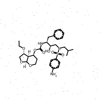 CCO[C@H]1CO[C@@H]2OCC[C@H](OC(=O)N[C@@H](Cc3ccccc3)[C@H](O)CN(CC(C)C)S(=O)(=O)c3ccc(N)cc3)[C@@H]21